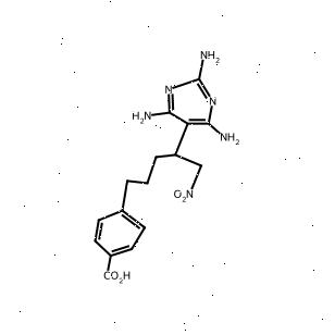 Nc1nc(N)c(C(CCCc2ccc(C(=O)O)cc2)C[N+](=O)[O-])c(N)n1